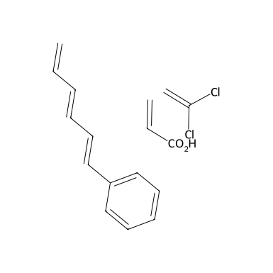 C=C(Cl)Cl.C=CC(=O)O.C=CC=CC=Cc1ccccc1